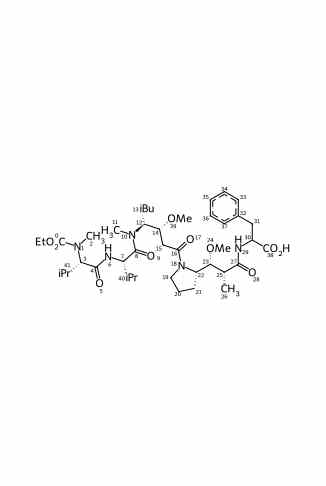 CCOC(=O)N(C)[C@H](C(=O)N[C@H](C(=O)N(C)[C@@H]([C@@H](C)CC)[C@@H](CC(=O)N1CCC[C@H]1[C@H](OC)[C@@H](C)C(=O)NC(Cc1ccccc1)C(=O)O)OC)C(C)C)C(C)C